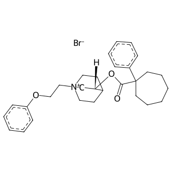 O=C(O[C@H]1C[N+]2(CCOc3ccccc3)CCC1CC2)C1(c2ccccc2)CCCCCC1.[Br-]